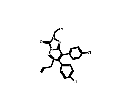 C=CCc1nn2c(=O)n(CC(C)C)nc2c(-c2ccc(Cl)cc2)c1-c1ccc(Cl)cc1